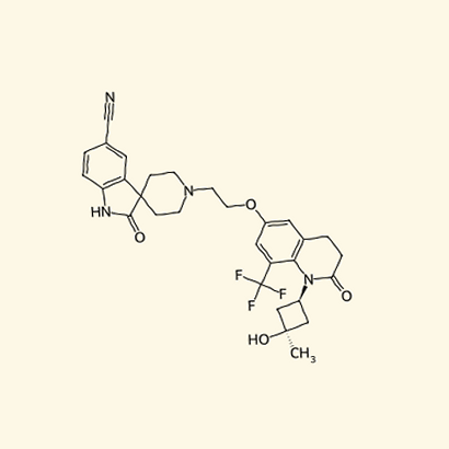 C[C@]1(O)C[C@@H](N2C(=O)CCc3cc(OCCN4CCC5(CC4)C(=O)Nc4ccc(C#N)cc45)cc(C(F)(F)F)c32)C1